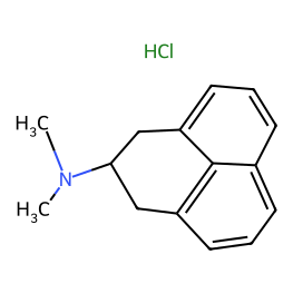 CN(C)C1Cc2cccc3cccc(c23)C1.Cl